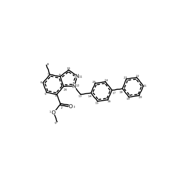 COC(=O)c1ccc(C)c2cnn(Cc3ccc(-c4ccccc4)cc3)c12